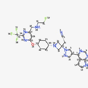 N#CCC1(n2cc(-c3ncnc4[nH]ccc34)cn2)CN([C@H]2CC[C@@H](Oc3cc(CNCCF)nc(C(F)(F)F)n3)CC2)C1